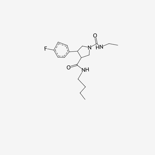 CCCCNC(=O)C1CN(C(=O)NCC)CC1c1ccc(F)cc1